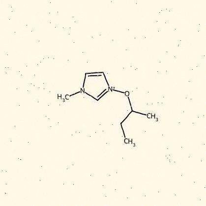 CCC(C)O[n+]1ccn(C)c1